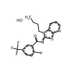 CCCCn1c(=NC(=O)c2cc(C(F)(F)F)ccc2F)sc2ncccc21.Cl